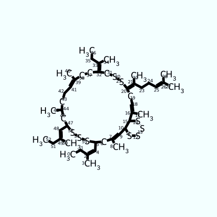 CC/C(C)=C\C1C/C(C)=C\C2SSSSC2/C(C)=C\C/C(=C(/C)CCC=C(C)C)SSC/C(=C(\C)CC)CC/C(C)=C/CCC(C)CC(/C=C(\C)CC)SSS1